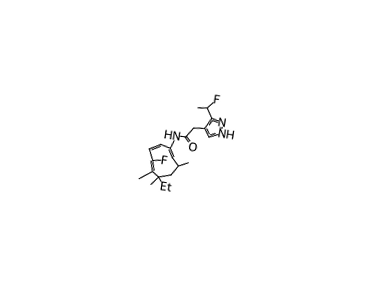 CCC1(C)CC(C)/C=C(NC(=O)Cc2c[nH]nc2C(C)F)/C=C\C(F)=C\1C